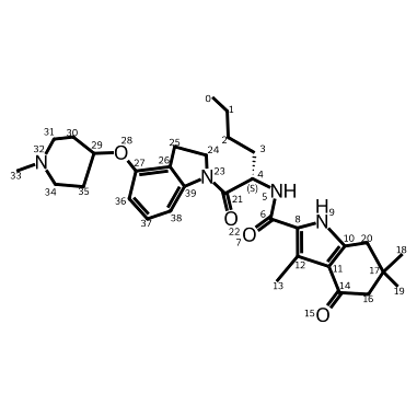 CCCC[C@H](NC(=O)c1[nH]c2c(c1C)C(=O)CC(C)(C)C2)C(=O)N1CCc2c(OC3CCN(C)CC3)cccc21